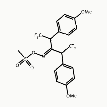 COc1ccc(C(C(=NOS(C)(=O)=O)C(c2ccc(OC)cc2)C(F)(F)F)C(F)(F)F)cc1